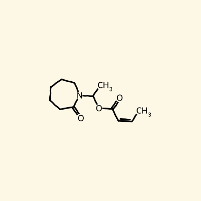 C/C=C\C(=O)OC(C)N1CCCCCC1=O